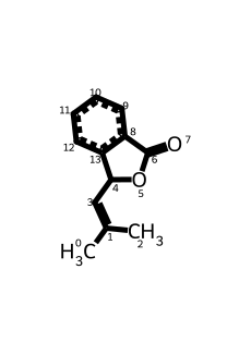 CC(C)=CC1OC(=O)c2ccccc21